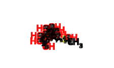 CC(O)CSCCCCCO[C@@H]1OC(CO)[C@@H](O)[C@H](O)C1O[C@@H]1OC(CO)[C@@H](O)[C@H](O)C1O